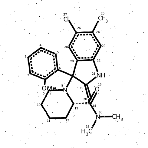 COc1ccccc1C1(N2CCCC[C@H]2C(=O)N(C)C)C(=O)Nc2cc(C(F)(F)F)c(Cl)cc21